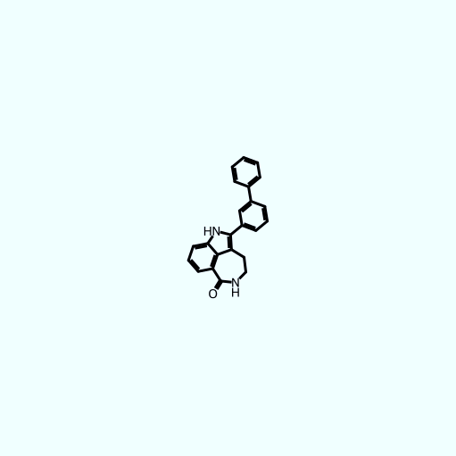 O=C1NCCc2c(-c3cccc(-c4ccccc4)c3)[nH]c3cccc1c23